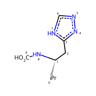 CC(C)[C@@H](Cc1nnc[nH]1)NC(=O)O